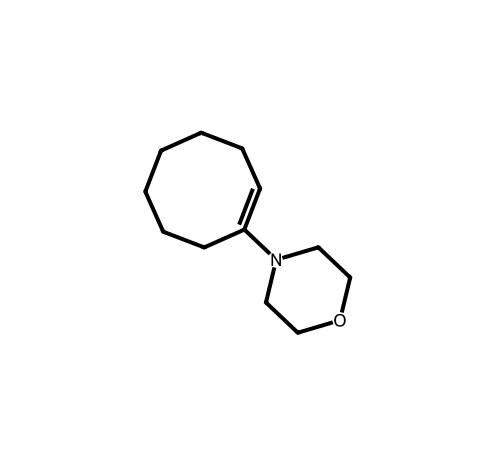 C1=C(N2CCOCC2)CCCCCC1